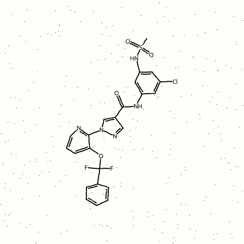 CS(=O)(=O)Nc1cc(Cl)cc(NC(=O)c2cnn(-c3ncccc3OC(F)(F)c3ccccc3)c2)c1